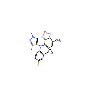 Cc1nn(C)cc1N(c1ccc(F)cc1C1CC1)c1ccc([N+](=O)[O-])c2nonc12